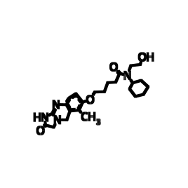 Cc1c(OCCCCC(=O)N(CCO)C2CCCCC2)ccc2c1CN1CC(=O)NC1=N2